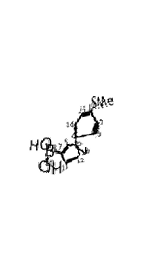 CSc1ccc(-c2cc(B(O)O)ccn2)cc1